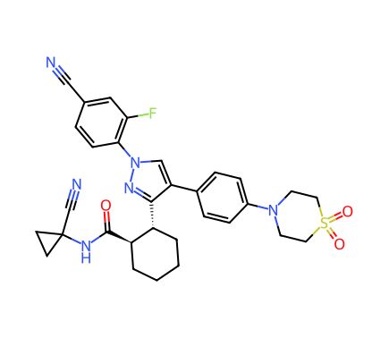 N#Cc1ccc(-n2cc(-c3ccc(N4CCS(=O)(=O)CC4)cc3)c([C@@H]3CCCC[C@H]3C(=O)NC3(C#N)CC3)n2)c(F)c1